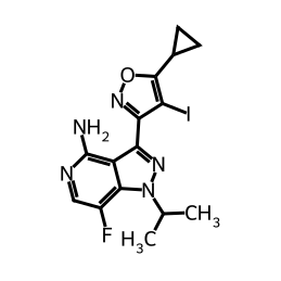 CC(C)n1nc(-c2noc(C3CC3)c2I)c2c(N)ncc(F)c21